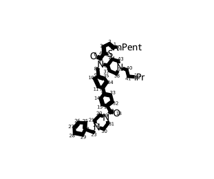 CCCCCc1ccc(C(=O)N(Cc2ccc(-c3ccc(C(=O)N4CCN(Cc5ccccc5)CC4)cc3)cc2)C2CCN(CCC(C)C)CC2)s1